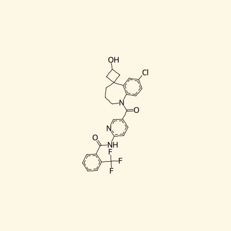 O=C(Nc1ccc(C(=O)N2CCCC3(CC(O)C3)c3cc(Cl)ccc32)cn1)c1ccccc1C(F)(F)F